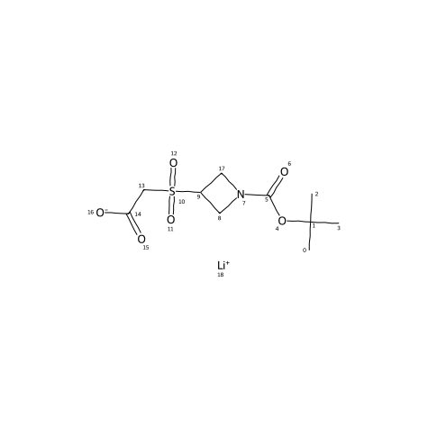 CC(C)(C)OC(=O)N1CC(S(=O)(=O)CC(=O)[O-])C1.[Li+]